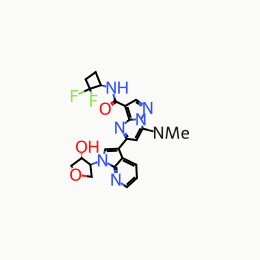 CNc1cc(-c2cn([C@H]3COC[C@@H]3O)c3ncccc23)nc2c(C(=O)N[C@@H]3CCC3(F)F)cnn12